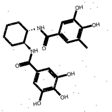 Cc1cc(C(=O)N[C@H]2CCCC[C@@H]2NC(=O)c2cc(O)c(O)c(O)c2)cc(O)c1O